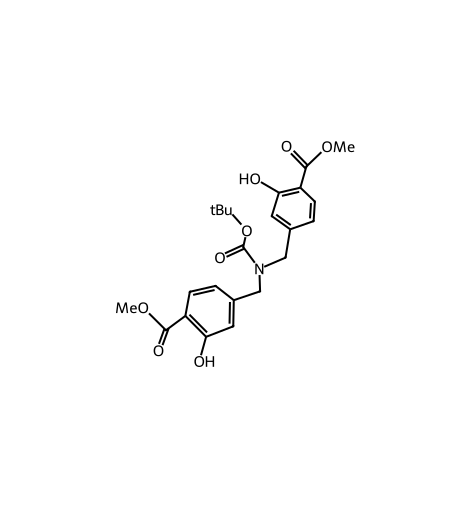 COC(=O)c1ccc(CN(Cc2ccc(C(=O)OC)c(O)c2)C(=O)OC(C)(C)C)cc1O